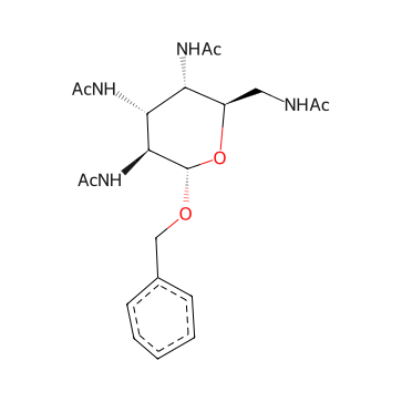 CC(=O)NC[C@H]1O[C@H](OCc2ccccc2)[C@@H](NC(C)=O)[C@H](NC(C)=O)[C@@H]1NC(C)=O